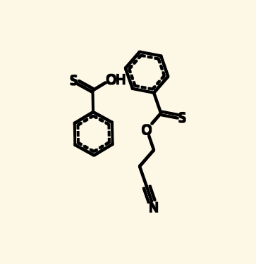 N#CCCOC(=S)c1ccccc1.OC(=S)c1ccccc1